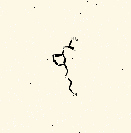 N#C[CH]COCc1cccc(OC(N)=O)c1